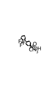 CN(C(=O)O)c1ccc(-c2ccccc2C(F)(F)F)cc1